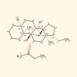 CCC(C)=O.CC[C@H]1CC[C@H]2[C@@H]3CC[C@@H]4CCCC[C@]4(C)[C@H]3CC[C@]12C